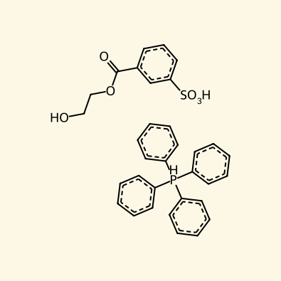 O=C(OCCO)c1cccc(S(=O)(=O)O)c1.c1ccc([PH](c2ccccc2)(c2ccccc2)c2ccccc2)cc1